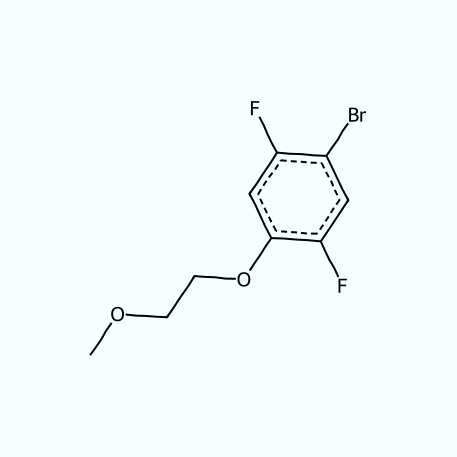 COCCOc1cc(F)c(Br)cc1F